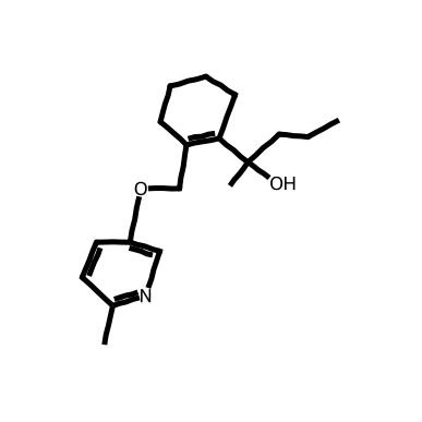 CCCC(C)(O)C1=C(COc2ccc(C)nc2)CCCC1